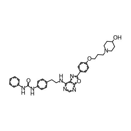 O=C(Nc1ccccc1)Nc1ccc(CCNc2ncnc3oc(-c4ccc(OCCCN5CCC(O)CC5)cc4)nc23)cc1